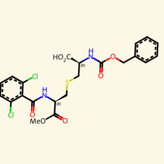 COC(=O)[C@H](CSC[C@H](NC(=O)OCc1ccccc1)C(=O)O)NC(=O)c1c(Cl)cccc1Cl